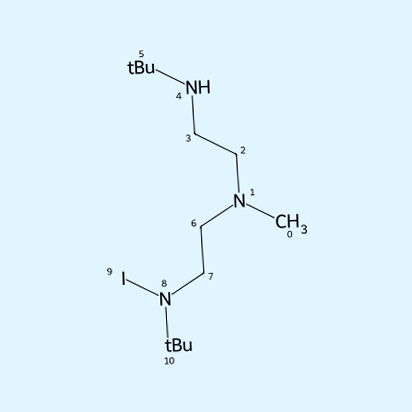 CN(CCNC(C)(C)C)CCN(I)C(C)(C)C